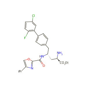 CCOC(=O)[C@H](N)C[C@@H](Cc1ccc(-c2cc(Cl)ccc2F)cc1)NC(=O)c1nc(C(C)C)co1